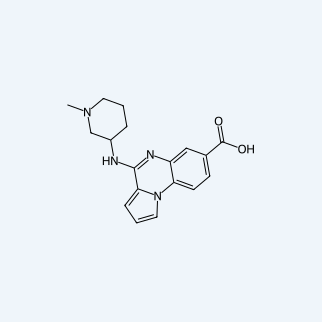 CN1CCCC(Nc2nc3cc(C(=O)O)ccc3n3cccc23)C1